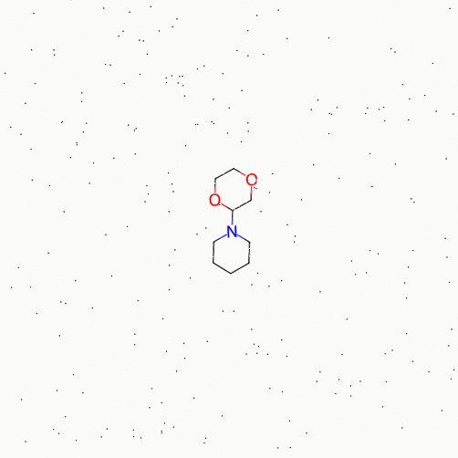 C1CCN(C2COCCO2)CC1